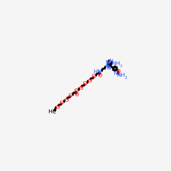 C#CCOCCOCCOCCOCCC(=O)OCCOCCOCCOCCOCCC(=O)NCCCCn1nc(-c2ccc3oc(N)nc3c2)c2c(N)ncnc21